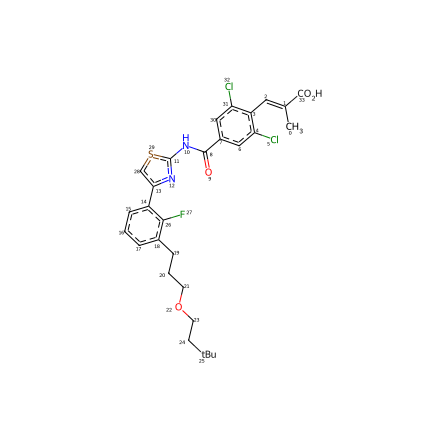 CC(=Cc1c(Cl)cc(C(=O)Nc2nc(-c3cccc(CCCOCCC(C)(C)C)c3F)cs2)cc1Cl)C(=O)O